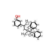 CC(C[Si](C)(C)[Si](C)(c1ccccc1)c1ccccc1)c1cccc(O)c1